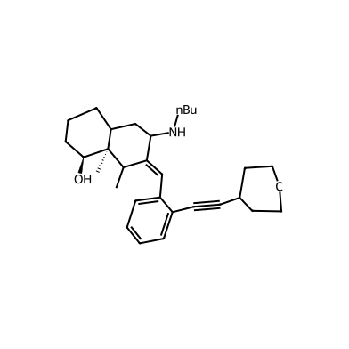 CCCCNC1CC2CCC[C@H](O)[C@]2(C)C(C)/C1=C\c1ccccc1C#CC1CCCCC1